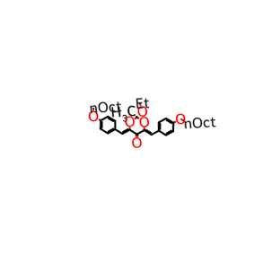 CCCCCCCCOc1ccc(C=C2OC(C)(OCC)OC(=Cc3ccc(OCCCCCCCC)cc3)C2=O)cc1